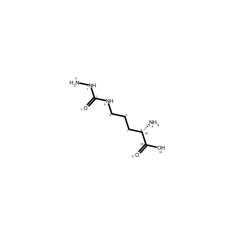 NNC(=O)NCCC[C@H](N)C(=O)O